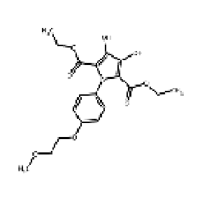 CCOC(=O)c1c(O)c(O)c(C(=O)OCC)n1-c1ccc(OCCOC)cc1